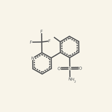 Cc1cccc(S(N)(=O)=O)c1-c1cccnc1C(F)(F)F